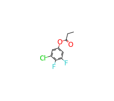 CCC(=O)Oc1cc(F)c(F)c(Cl)c1